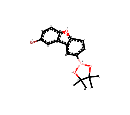 CC1(C)OB(c2ccc3oc4ccc(Br)cc4c3c2)OC1(C)C